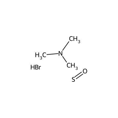 Br.CN(C)C.O=S